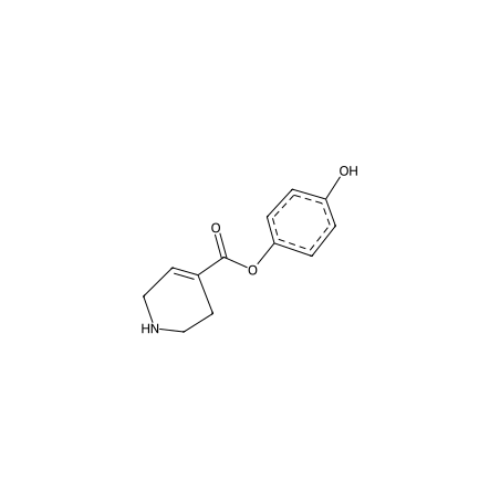 O=C(Oc1ccc(O)cc1)C1=CCNCC1